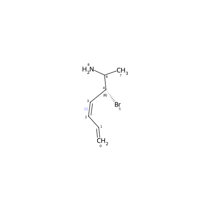 C=C/C=C\[C@@H](Br)C(C)N